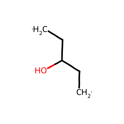 [CH2]CC(O)C[CH2]